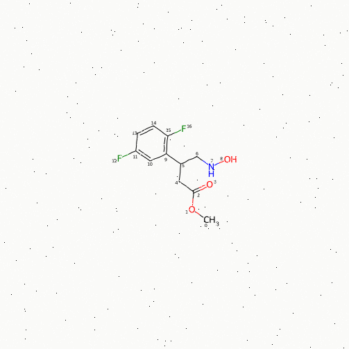 COC(=O)CC(CNO)c1cc(F)ccc1F